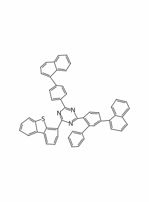 c1ccc(-c2cc(-c3cccc4ccccc34)ccc2-c2nc(-c3ccc(-c4cccc5ccccc45)cc3)nc(-c3cccc4c3sc3ccccc34)n2)cc1